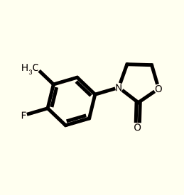 Cc1cc(N2CCOC2=O)ccc1F